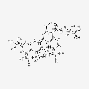 CC[C@@H]1C[C@H](N(Cc2cc(C(F)(F)F)cc(C(F)(F)F)c2)c2nnn(C)n2)c2nc(C(F)(F)F)ccc2N1C(=O)OCC(C)(C)C(=O)O